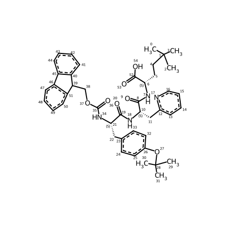 CC(C)(C)CC[C@H](NC(=O)[C@H](Cc1ccccn1)NC(=O)[C@H](Cc1ccc(OC(C)(C)C)cc1)NC(=O)OCC1c2ccccc2-c2ccccc21)C(=O)O